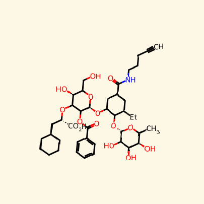 C#CCCCNC(=O)C1CC(CC)C(O[C@@H]2OC(C)[C@@H](O)C(O)C2O)C(O[C@@H]2OC(CO)[C@H](O)C(O[C@@H](CC3CCCCC3)C(=O)O)C2OC(=O)c2ccccc2)C1